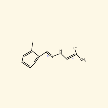 CC/C(C)=C\N/N=C/c1ccccc1F